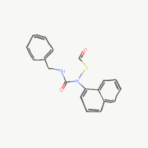 O=CSN(C(=O)NCc1ccccc1)c1cccc2ccccc12